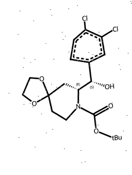 CC(C)(C)OC(=O)N1CCC2(C[C@@H]1[C@@H](O)c1ccc(Cl)c(Cl)c1)OCCO2